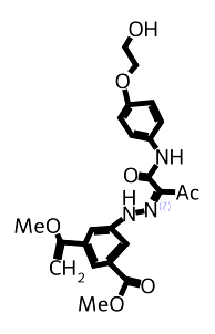 C=C(OC)c1cc(N/N=C(/C(C)=O)C(=O)Nc2ccc(OCCO)cc2)cc(C(=O)OC)c1